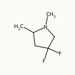 [CH2]C1CC(F)(F)CN1C